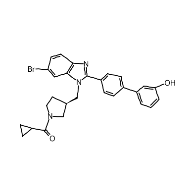 O=C(C1CC1)N1CC[C@@H](Cn2c(-c3ccc(-c4cccc(O)c4)cc3)nc3ccc(Br)cc32)C1